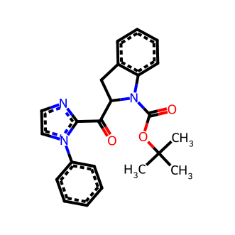 CC(C)(C)OC(=O)N1c2ccccc2CC1C(=O)c1nccn1-c1ccccc1